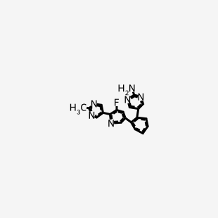 Cc1ncc(-c2ncc(-c3ccccc3-c3cnc(N)nc3)cc2F)cn1